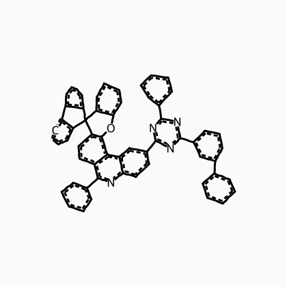 c1ccc(-c2cccc(-c3nc(-c4ccccc4)nc(-c4ccc5nc(-c6ccccc6)c6ccc7c(c6c5c4)Oc4ccccc4C74c5ccccc5-c5ccccc54)n3)c2)cc1